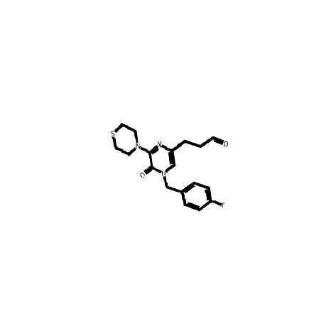 O=CCCc1cn(Cc2ccc(F)cc2)c(=O)c(N2CCSCC2)n1